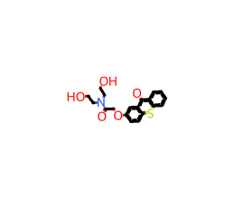 O=C(COc1ccc2sc3ccccc3c(=O)c2c1)N(CCO)CCO